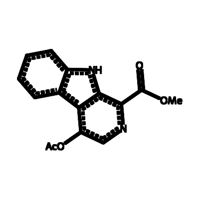 COC(=O)c1ncc(OC(C)=O)c2c1[nH]c1ccccc12